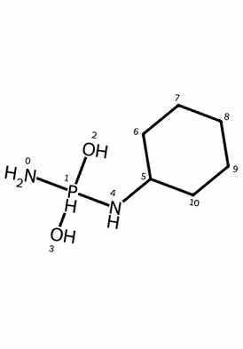 N[PH](O)(O)NC1CCCCC1